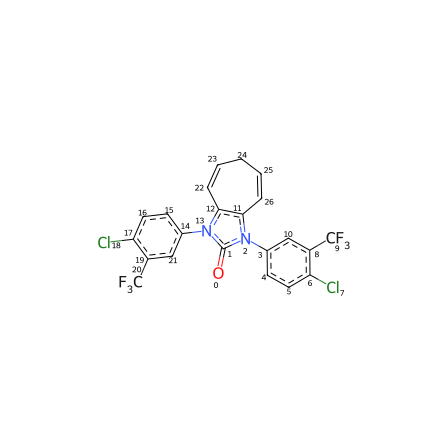 O=c1n(-c2ccc(Cl)c(C(F)(F)F)c2)c2c(n1-c1ccc(Cl)c(C(F)(F)F)c1)C=CCC=C2